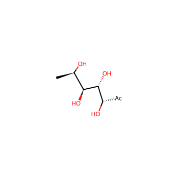 CC(=O)[C@H](O)[C@@H](O)[C@@H](O)[C@@H](C)O